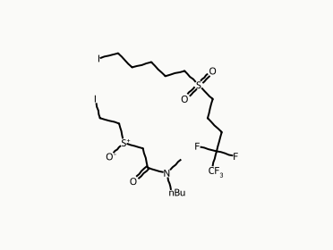 CCCCN(C)C(=O)C[S+]([O-])CCI.O=S(=O)(CCCCCI)CCCC(F)(F)C(F)(F)F